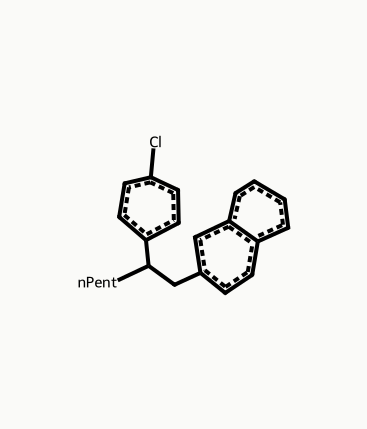 CCCCCC(Cc1ccc2ccccc2c1)c1ccc(Cl)cc1